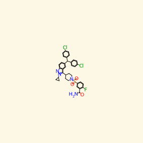 NC(=O)c1cc(S(=O)(=O)N2CCC(c3c4cc(C(c5ccc(Cl)cc5)c5ccc(Cl)cc5)ccc4nn3C3CC3)CC2)ccc1F